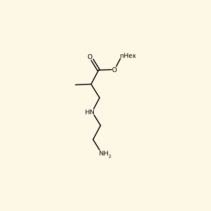 CCCCCCOC(=O)C(C)CNCCN